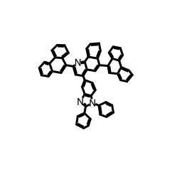 c1ccc(-c2nc3cc(-c4cc(-c5cc6ccccc6c6ccccc56)nc5c4cc(-c4cc6ccccc6c6ccccc46)c4ccccc45)ccc3n2-c2ccccc2)cc1